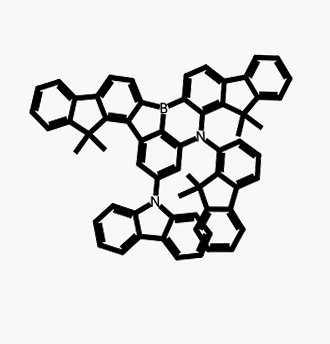 CC1(C)c2ccccc2-c2cccc(N3c4cc(-n5c6ccccc6c6ccccc65)cc5c4B(c4ccc6c(c4-5)C(C)(C)c4ccccc4-6)c4ccc5c(c43)C(C)(C)c3ccccc3-5)c21